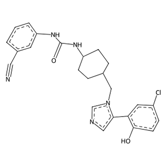 N#Cc1cccc(NC(=O)NC2CCC(Cn3cncc3-c3cc(Cl)ccc3O)CC2)c1